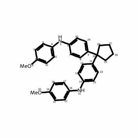 COc1ccc(Nc2ccc(C3(c4ccc(Nc5ccc(OC)cc5)cc4)CCCC3)cc2)cc1